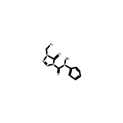 CCC(C)N(C(=O)n1nnn(CC(C)=O)c1=O)c1ccccc1